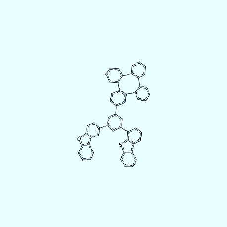 c1ccc2c(c1)-c1ccccc1-c1ccc(-c3cc(-c4ccc5oc6ccccc6c5c4)cc(-c4cccc5c4sc4ccccc45)c3)cc1-c1ccccc1-2